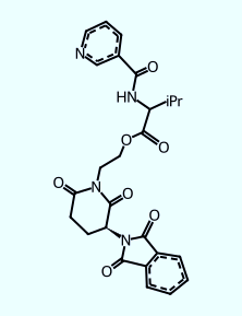 CC(C)C(NC(=O)c1cccnc1)C(=O)OCCN1C(=O)CC[C@H](N2C(=O)c3ccccc3C2=O)C1=O